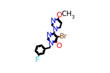 COC1=CCN(c2ncn(Cc3cccc(F)c3)c(=O)c2Br)C=N1